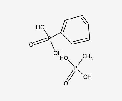 CP(=O)(O)O.O=P(O)(O)c1ccccc1